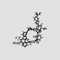 C=CC(=O)N1CCC2(C1)CN(C(=O)N(C)[C@H](C(=O)N[C@H]1Cc3nc(cs3)-c3ccc4c(c3)c(c(-c3cccnc3[C@H](C)OC)n4CC(F)(F)F)CC(C)(C)COC(=O)[C@@H]3CCCN(N3)C1=O)C(C)C)C2